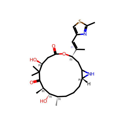 C/C(=C\c1csc(C)n1)[C@@H]1CC2N[C@@H]2CCC[C@H](C)[C@H](O)[C@@H](C)C(=O)C(C)(C)[C@@H](O)CC(=O)O1